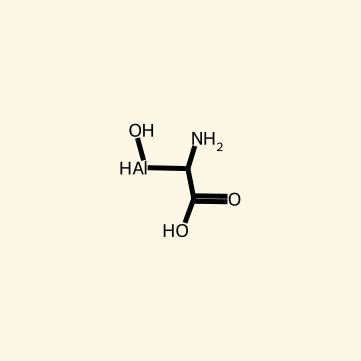 N[CH]([AlH][OH])C(=O)O